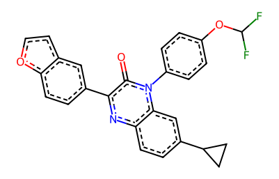 O=c1c(-c2ccc3occc3c2)nc2ccc(C3CC3)cc2n1-c1ccc(OC(F)F)cc1